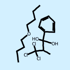 CC(C(Cl)(Cl)Cl)C(O)(O)c1ccccc1.CCCCOCCCC